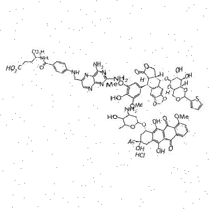 COc1cc([C@@H]2c3cc4c(cc3[C@@H](O[C@@H]3O[C@@H]5COC(c6cccs6)O[C@H]5[C@H](O)[C@H]3O)[C@H]3COC(=O)[C@H]23)OCO4)cc(OC)c1O.COc1cccc2c1C(=O)c1c(O)c3c(c(O)c1C2=O)C[C@@](O)(C(C)=O)C[C@@H]3OC1CC(N)C(O)C(C)O1.Cl.Nc1nc(N)c2nc(CNc3ccc(C(=O)NC(CCC(=O)O)C(=O)O)cc3)cnc2n1